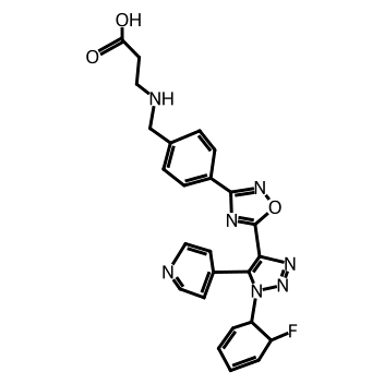 O=C(O)CCNCc1ccc(-c2noc(-c3nnn(C4C=CC=CC4F)c3-c3ccncc3)n2)cc1